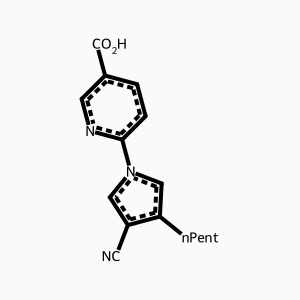 CCCCCc1cn(-c2ccc(C(=O)O)cn2)cc1C#N